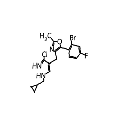 Cc1nc(C/C(=C/NCC2CC2)C(=N)Cl)c(-c2ccc(F)cc2Br)o1